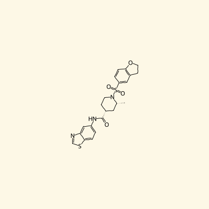 C[C@@H]1C[C@H](C(=O)Nc2ccc3scnc3c2)CCN1S(=O)(=O)c1ccc2c(c1)CCO2